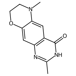 Cc1nc2cc3c(cc2c(=O)[nH]1)N(C)CCO3